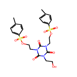 Cc1ccc(S(=O)(=O)OCCn2c(=O)n(CCO)c(=O)n(CCOS(=O)(=O)c3ccc(C)cc3)c2=O)cc1